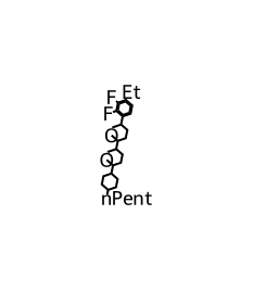 CCCCCC1CCC(C2CCC(C3CCC(c4ccc(CC)c(F)c4F)CO3)CO2)CC1